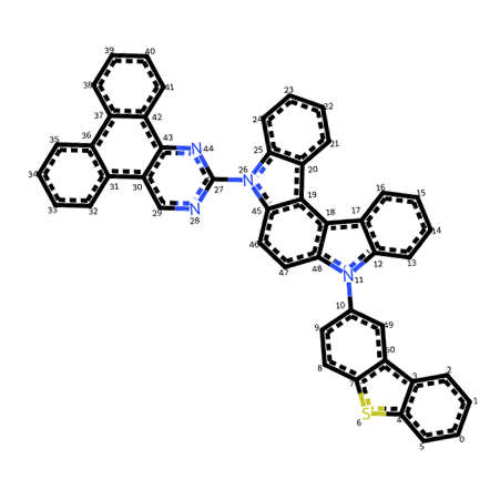 c1ccc2c(c1)sc1ccc(-n3c4ccccc4c4c5c6ccccc6n(-c6ncc7c8ccccc8c8ccccc8c7n6)c5ccc43)cc12